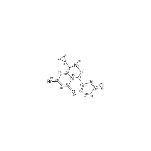 CN(CC1CC1)CC(c1cccc(Cl)c1)n1ccc(Br)cc1=O